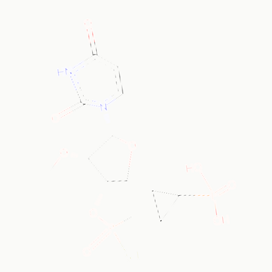 CO[C@H]1[C@@H](OP(C)(=O)S)[C@@H](C2CC2P(=O)(O)O)O[C@H]1n1ccc(=O)[nH]c1=O